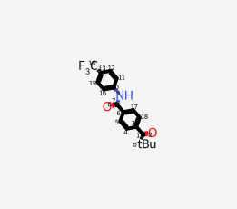 CC(C)(C)C(=O)c1ccc(C(=O)Nc2ccc(C(F)(F)F)cc2)cc1